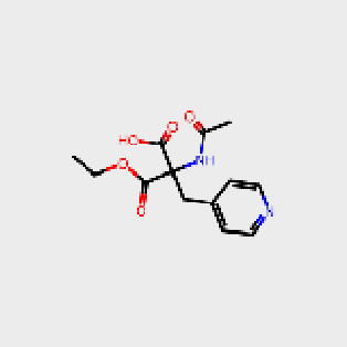 CCOC(=O)C(Cc1ccncc1)(NC(C)=O)C(=O)O